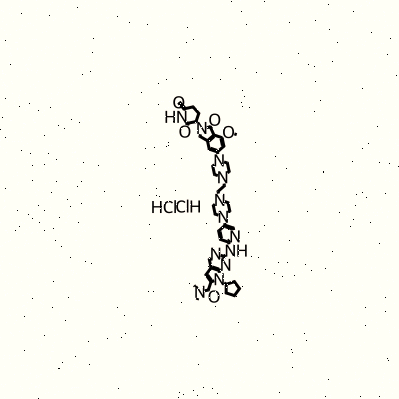 COc1cc(N2CCN(CCN3CCN(c4ccc(Nc5ncc6cc(C(=O)N(C)C)n(C7CCCC7)c6n5)nc4)CC3)CC2)cc2c1C(=O)N(C1CCC(=O)NC1=O)C2.Cl.Cl